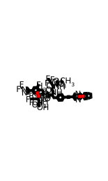 COC(=O)NC(C(=O)NC(Cc1ccc(C#Cc2cnc(N3CC4CCC(C3)N4C3COC3)nc2)cc1)C(O)CN(Cc1c(F)cc(-c2cnn(C(F)F)c2)cc1F)NC(=O)C(NC(=O)O)C(C)(C)C(F)(F)F)C(C)(C)C(F)(F)F